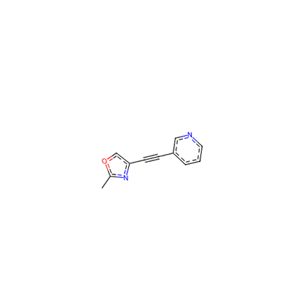 Cc1nc(C#Cc2cccnc2)co1